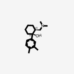 Cc1ccc([C@]2(O)CCCC[C@H]2CN(C)C)cc1C